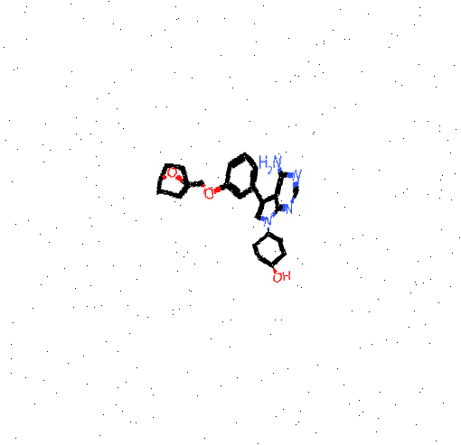 Nc1ncnc2c1c(-c1cccc(OCC34CCC(CC3)O4)c1)cn2[C@H]1CC[C@H](O)CC1